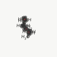 COc1ccc(N=Nc2c(S(=O)(=O)O)cc3ccc(N=Nc4c(S(=O)(=O)O)cc5cc(S(=O)(=O)O)c(N=Nc6ccc7c(O)c(N=Nc8ccccc8S(=O)(=O)O)c(S(=O)(=O)O)cc7c6)c(O)c5c4N)cc3c2O)c(S(=O)(=O)O)c1